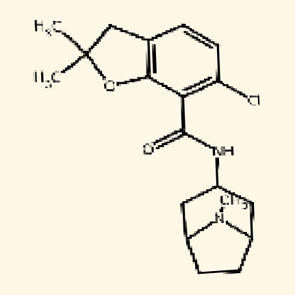 CN1C2CCC1CC(NC(=O)c1c(Cl)ccc3c1OC(C)(C)C3)C2